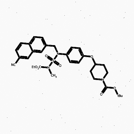 CCOC(=O)N(C)S(=O)(=O)N(Cc1ccc2ccc(C#N)cc2c1)c1ccc(OC2CCN(C(=O)OC(C)(C)C)CC2)cc1